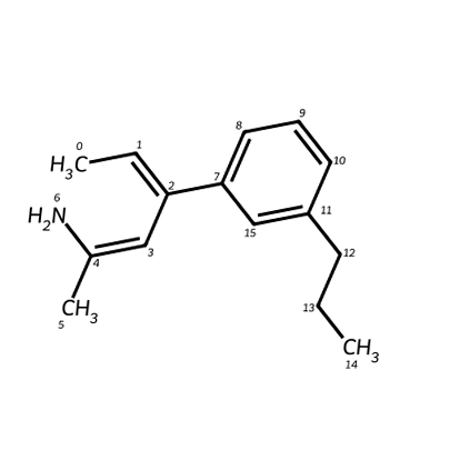 C/C=C(\C=C(\C)N)c1cccc(CCC)c1